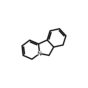 C1=CCC2CN3CC=CC=C3C2=C1